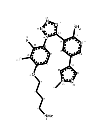 CNCCCCOc1ccc(-n2nnnc2-c2cc(-c3cnn(C)c3)cnc2N)c(F)c1F